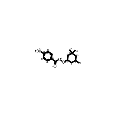 CC1C[C](OOC(=O)c2ccc(C(C)(C)C)cc2)CC(C)(C)C1